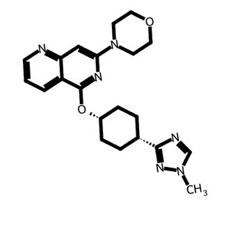 Cn1cnc([C@H]2CC[C@@H](Oc3nc(N4CCOCC4)cc4ncccc34)CC2)n1